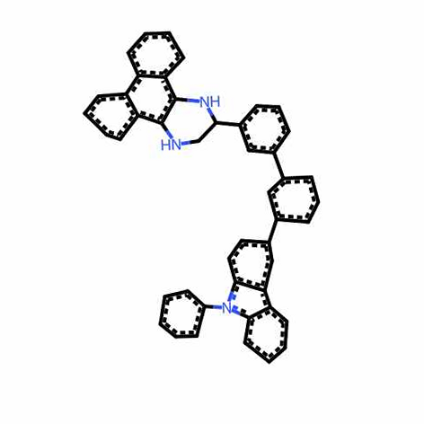 c1ccc(-n2c3ccccc3c3cc(-c4cccc(-c5cccc(C6CNc7c(c8ccccc8c8ccccc78)N6)c5)c4)ccc32)cc1